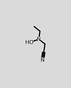 CCN(O)CC#N